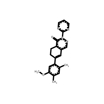 COc1cc(C2=Cc3cnn(-c4ncccn4)c(=O)c3CC2)c(C)cc1C